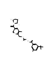 C[C@@H]1CC[C@H](C)N1C(=O)c1cnc([C@@H](C)NC(=O)NNC(=O)c2cc(F)cc(C(F)(F)F)c2)c(Cl)c1